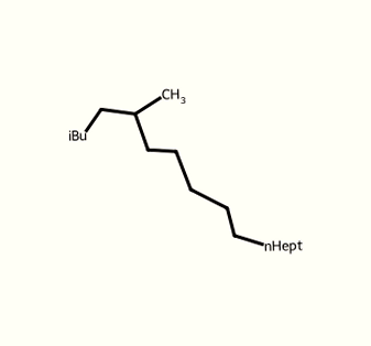 [CH2]CC(C)CC(C)CCCCCCCCCCCC